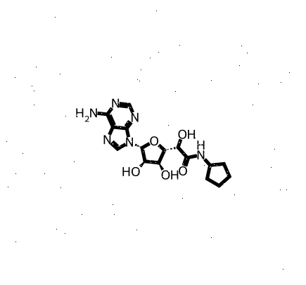 Nc1ncnc2c1ncn2[C@@H]1O[C@H](C(O)C(=O)NC2CCCC2)[C@@H](O)[C@H]1O